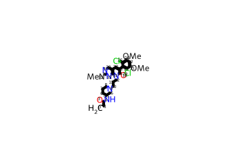 C=CC(=O)N[C@@H]1CCCN(CCCn2c(=O)c(-c3c(Cl)c(OC)cc(OC)c3Cl)cc3cnc(NC)nc32)C1